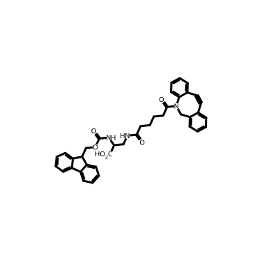 O=C(CCCCC(=O)N1Cc2ccccc2C#Cc2ccccc21)NCC(NC(=O)OCC1c2ccccc2-c2ccccc21)C(=O)O